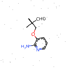 CC(C)(C=O)COc1cccnc1N